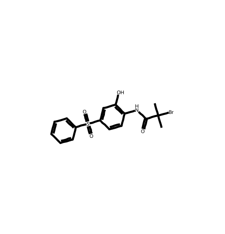 CC(C)(Br)C(=O)Nc1ccc(S(=O)(=O)c2ccccc2)cc1O